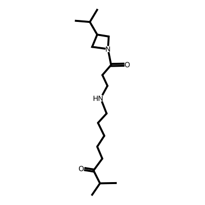 CC(C)C(=O)CCCCCNCCC(=O)N1CC(C(C)C)C1